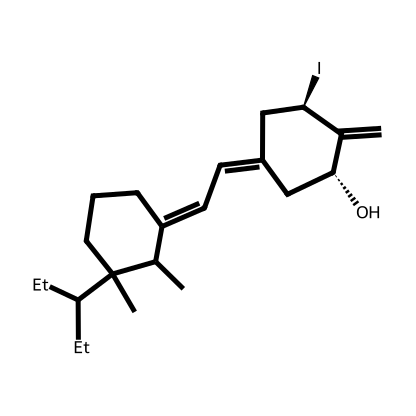 C=C1[C@H](O)C/C(=C\C=C2/CCCC(C)(C(CC)CC)C2C)C[C@H]1I